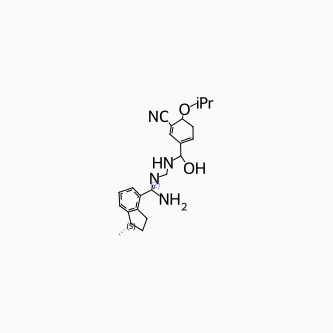 CC(C)OC1CC=C(C(O)NC/N=C(\N)c2cccc3c2CC[C@@H]3C)C=C1C#N